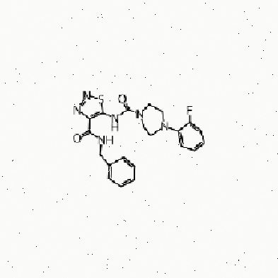 O=C(NCc1ccccc1)c1nnsc1NC(=O)N1CCN(c2ccccc2F)CC1